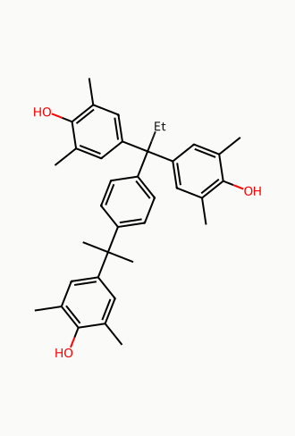 CCC(c1ccc(C(C)(C)c2cc(C)c(O)c(C)c2)cc1)(c1cc(C)c(O)c(C)c1)c1cc(C)c(O)c(C)c1